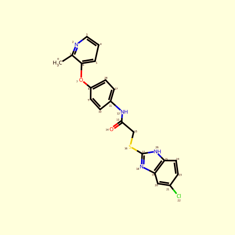 Cc1ncccc1Oc1ccc(NC(=O)CSc2nc3cc(Cl)ccc3[nH]2)cc1